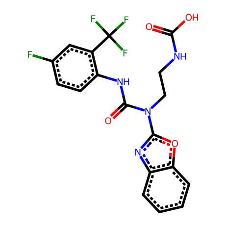 O=C(O)NCCN(C(=O)Nc1ccc(F)cc1C(F)(F)F)c1nc2ccccc2o1